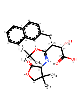 CC(C)(C)OC(=N[C@@H]1C(=O)OCC1(C)C)[C@H](Cc1ccc2ccccc2c1)[C@H](O)C(=O)O